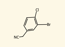 N#CCc1ccc(Cl)c(Br)c1